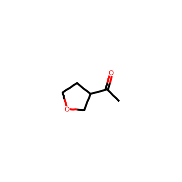 CC(=O)C1CCOC1